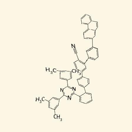 Cc1cc(C)cc(-c2nc(-c3cc(C)cc(C)c3)nc(-c3ccccc3-c3ccc(-c4ccc(C#N)c(-c5cccc(-c6ccc7c(ccc8ccccc87)c6)c5)c4)cc3)n2)c1